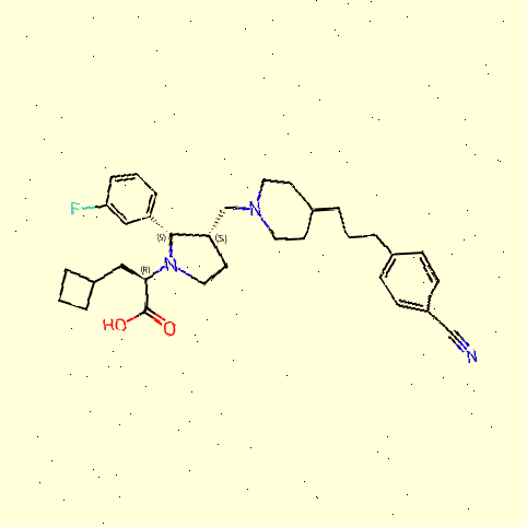 N#Cc1ccc(CCCC2CCN(C[C@@H]3CCN([C@H](CC4CCC4)C(=O)O)[C@@H]3c3cccc(F)c3)CC2)cc1